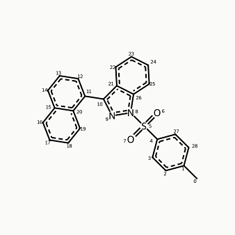 Cc1ccc(S(=O)(=O)n2nc(-c3cccc4ccccc34)c3ccccc32)cc1